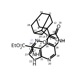 CCOC(=O)/C(N)=N/OC(=O)C12CC3CC(C1)C(n1c(=O)[nH]c4cnc5[nH]ccc5c41)C(C3)C2